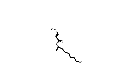 CCCCCCCC/C=C/C(=O)OC(C)CCCCCCBr